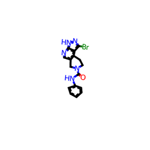 O=C(Nc1ccccc1)N1CCc2c(cnc3[nH]nc(Br)c23)C1